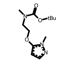 CN(CCOc1ccnn1C)C(=O)OC(C)(C)C